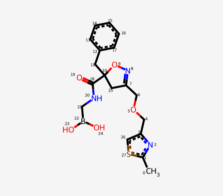 Cc1nc(COCC2=NOC(Cc3ccccc3)(C(=O)NCB(O)O)C2)cs1